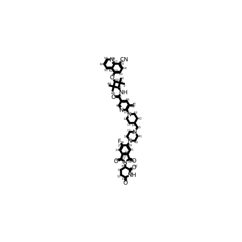 CC1(C)C(NC(=O)c2cnc(N3CCC(CN4CCN(c5cc6c(cc5F)C(=O)N(C5CCC(=O)NC5=O)C6=O)CC4)CC3)c(F)c2)C(C)(C)C1Oc1ccc(C#N)c2ncccc12